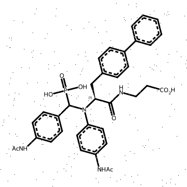 CC(=O)Nc1ccc(C(N(c2ccc(NC(C)=O)cc2)[C@@H](Cc2ccc(-c3ccccc3)cc2)C(=O)NCCC(=O)O)P(=O)(O)O)cc1